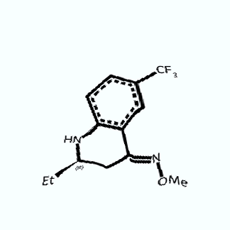 CC[C@@H]1CC(=NOC)c2cc(C(F)(F)F)ccc2N1